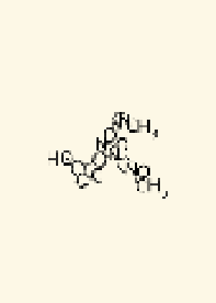 C=CC(=O)N1CCC(n2c(=O)c(OC[C@@H]3CCCN3C)nc3cc(-c4cc(O)cc5ccccc45)c(Cl)cc32)CC1